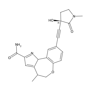 CC1COc2ccc(C#C[C@]3(O)CCN(C)C3=O)cc2C2N=C(C(N)=O)C=C12